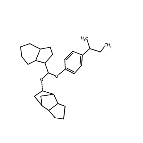 CCC(C)c1ccc(OC(OC2CC3CC2C2CCCC32)C2CCC3CCCCC32)cc1